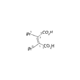 CC(C)C(C(=O)O)=C(C(=O)O)C(C)C